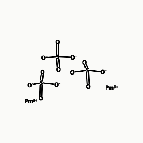 O=S(=O)([O-])[O-].O=S(=O)([O-])[O-].O=S(=O)([O-])[O-].[Pm+3].[Pm+3]